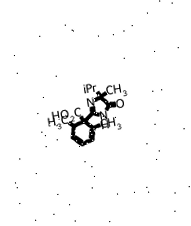 CC1=CC=CC(C)C1(C(=O)O)C1=NC(C)(C(C)C)C(=O)N1